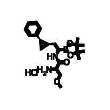 COCC(N)C(=O)NC(C[C@H]1C[C@@H]1c1ccccc1)B1OC(C)(C)C(C)(C)O1.Cl